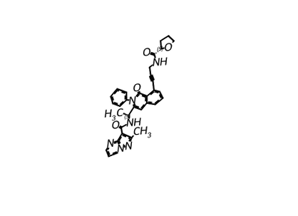 Cc1nn2cccnc2c1C(=O)N[C@@H](C)c1cc2cccc(C#CCNC(=O)[C@@H]3CCCO3)c2c(=O)n1-c1ccccc1